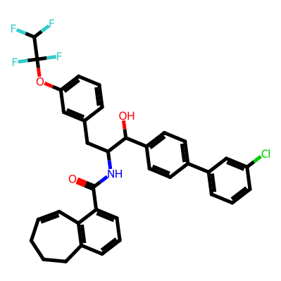 O=C(NC(Cc1cccc(OC(F)(F)C(F)F)c1)C(O)c1ccc(-c2cccc(Cl)c2)cc1)c1cccc2c1C=CCCC2